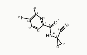 Cc1nc(C(=O)NC2(C#N)CC2)ccc1I